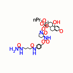 CCCC1OC2CC3C4CCC5=CC(=O)C=CC5(C)C4C(O)CC3(C)C2(C(=O)COCN2CCCC(NC(=O)OCc3ccc(NC(=O)CCCCNC(N)=O)cc3)C2=O)O1